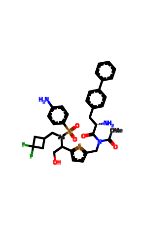 COC(=O)N(Cc1ccc(C(CO)[As](CC2CC(F)(F)C2)S(=O)(=O)c2ccc(N)cc2)s1)C(=O)[C@@H](N)Cc1ccc(-c2ccccc2)cc1